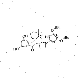 C[C@@H]1[C@H](N/C(=N/C(=O)OC(C)(C)C)NC(=O)OC(C)(C)C)C[C@H]2C(C)(C)CCC[C@]2(C)[C@H]1C(=O)c1cc(O)cc(O)c1